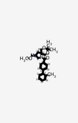 CO/N=C1\CN(C(=O)c2ccc(-c3ccccc3C)cc2)C2(COC(C)(C)OC2)C1